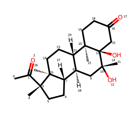 CC(=O)[C@@]1(C)CC[C@H]2[C@@H]3C[C@@](C)(O)[C@@]4(O)CC(=O)CC[C@]4(C)[C@H]3CC[C@@]21C